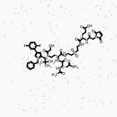 CC(=O)N[C@@H](CC(N)=O)C(=O)N[C@@H](CCN(C(=O)CO)[C@@H](c1cc(-c2cc(F)ccc2F)cn1Cc1ccccc1)C(C)(C)C)C(=O)NCCS(=O)(=O)CCNC(=O)[C@@H](CCC(=O)O)NC(=O)CN1C(=O)C=CC1=O